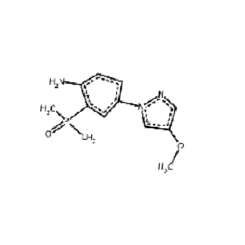 COc1cnn(-c2ccc(N)c(P(C)(C)=O)c2)c1